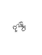 CCCCCCCC(CCC)(Cc1cccc(Br)c1)[C@@H]1C[C@@H]1c1ccccc1